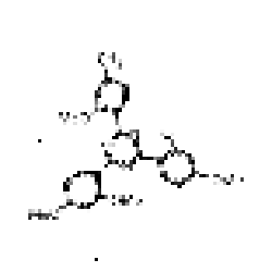 COc1ccc(-c2nc(-c3ccc(C)cc3OC)nc(-c3ccc(OC)cc3OC)n2)c(O)c1